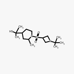 CC1CC(C(C)(C)S)CCN1S(=O)(=O)C1CN(C(C)(C)C)C1